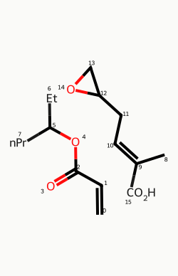 C=CC(=O)OC(CC)CCC.CC(=CCC1CO1)C(=O)O